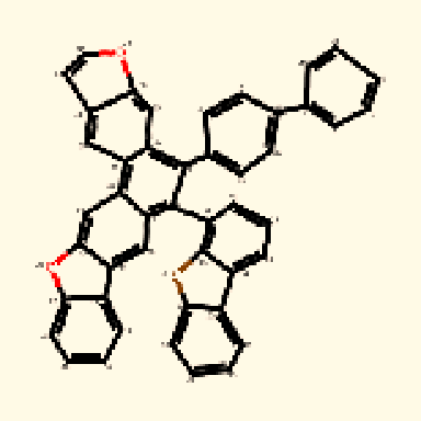 c1ccc(-c2ccc(-c3c(-c4cccc5c4sc4ccccc45)c4cc5c(cc4c4cc6ccoc6cc34)oc3ccccc35)cc2)cc1